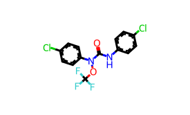 O=C(Nc1ccc(Cl)cc1)N(OC(F)(F)F)c1ccc(Cl)cc1